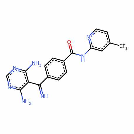 N=C(c1ccc(C(=O)Nc2cc(C(F)(F)F)ccn2)cc1)c1c(N)ncnc1N